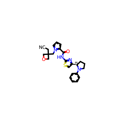 N#CCC1(Cn2cccc2C(=O)Nc2nc([C@H]3CCCN3c3ccccc3)cs2)COC1